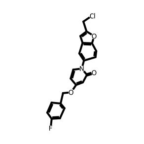 O=c1cc(OCc2ccc(F)cc2)ccn1-c1ccc2oc(CCl)cc2c1